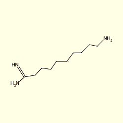 N=C(N)CCCC[CH]CCCCN